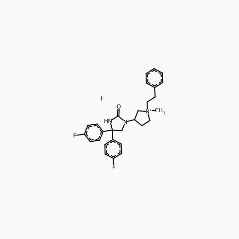 C[N+]1(CCc2ccccc2)CCC(N2CC(c3ccc(F)cc3)(c3ccc(F)cc3)NC2=O)C1.[I-]